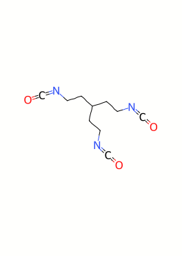 O=C=NCCC(CCN=C=O)CCN=C=O